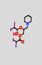 O=C(OCC(CN1CCCCC1)OC(O)C(I)I)C(I)I